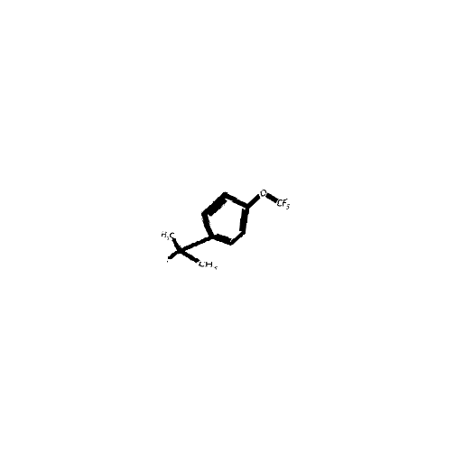 CC(C)(I)c1ccc(OC(F)(F)F)cc1